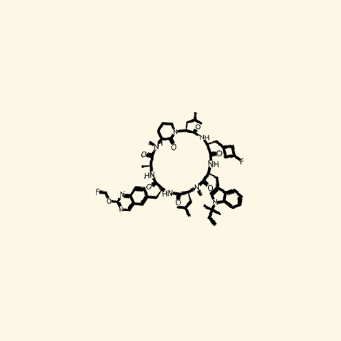 C=CC(C)(C)n1cc(C[C@@H]2NC(=O)[C@H](CC3CC(F)C3)NC(=O)[C@H](CC(C)C)N3CCC[C@@H](C3=O)N(C)C(=O)[C@H](C)NC(=O)[C@H](Cc3ccc4nc(OCF)ncc4c3)NC(=O)[C@H](CC(C)C)N(C)C2=O)c2ccccc21